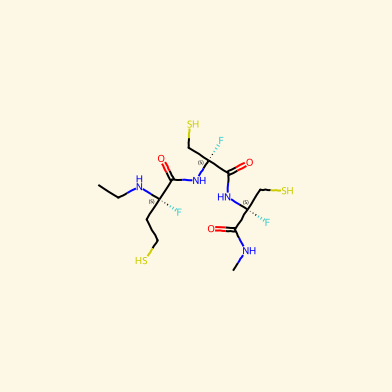 CCN[C@](F)(CCS)C(=O)N[C@@](F)(CS)C(=O)N[C@@](F)(CS)C(=O)NC